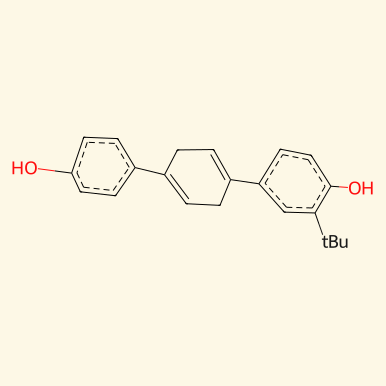 CC(C)(C)c1cc(C2=CCC(c3ccc(O)cc3)=CC2)ccc1O